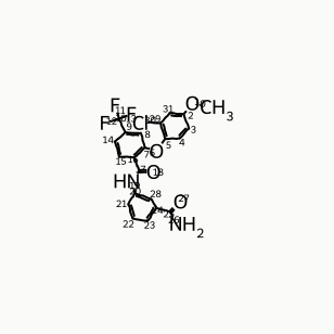 COc1ccc(Oc2cc(C(F)(F)F)ccc2C(=O)Nc2cccc(C(N)=O)c2)c(Cl)c1